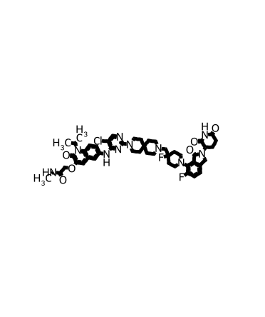 CNC(=O)COc1cc2cc(Nc3nc(N4CCC5(CCN(CC6(F)CCN(c7c(F)ccc8c7C(=O)N(C7CCC(=O)NC7=O)C8)CC6)CC5)CC4)ncc3Cl)ccc2n(C(C)C)c1=O